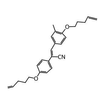 C=CCCCOc1ccc(/C(C#N)=C/c2ccc(OCCCC=C)c(C)c2)cc1